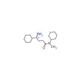 CN(C(=O)CC[C@H](N)C1CCCCC1)C1CCCCC1